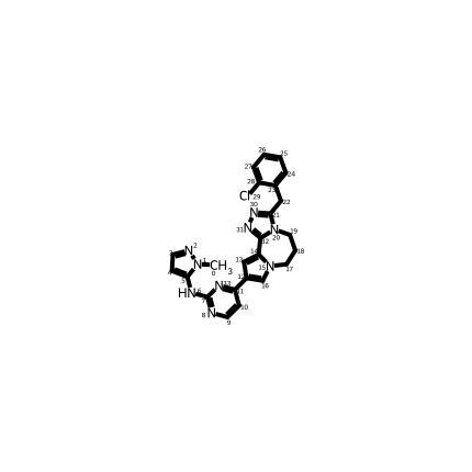 Cn1nccc1Nc1nccc(-c2cc3n(c2)CCCn2c(Cc4ccccc4Cl)nnc2-3)n1